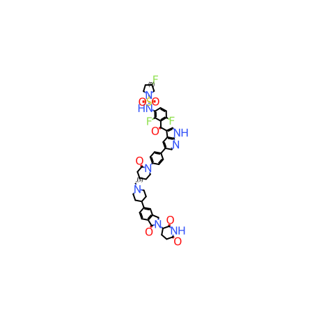 O=C1CCC(N2Cc3cc(C4CCN(C[C@H]5CCN(c6ccc(-c7cnc8[nH]cc(C(=O)c9c(F)ccc(NS(=O)(=O)N%10CC[C@@H](F)C%10)c9F)c8c7)cc6)C(=O)C5)CC4)ccc3C2=O)C(=O)N1